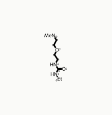 CCNC(=O)NCCOCCNC